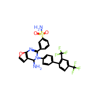 NC1c2ccoc2N=C(c2cccc(S(N)(=O)=O)c2)N1c1ccc(-c2ccc(C(F)(F)F)cc2C(F)(F)F)cc1